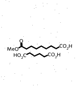 COC(=O)CCCCCCCC(=O)O.O=C(O)CCCCC(=O)O